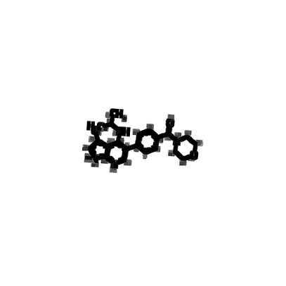 CC(C)Nc1c(-c2ccc(C(=O)N3CCOCC3)cc2)cnc2[nH]cc(Cl)c12